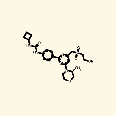 C[C@H]1COCCN1c1cc(CS(=O)(=O)CCO)nc(-c2ccc(NC(=O)NC3CCC3)cc2)n1